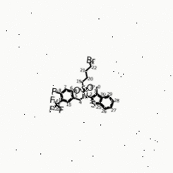 Cc1c(N(Cc2ccc(F)c(C(F)(F)F)c2)S(=O)(=O)CCCCBr)sc2ccccc12